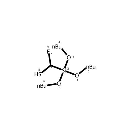 CCCCO[Si](OCCCC)(OCCCC)C(S)CC